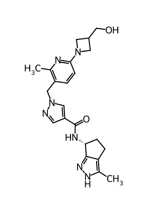 Cc1nc(N2CC(CO)C2)ccc1Cn1cc(C(=O)N[C@@H]2CCc3c2n[nH]c3C)cn1